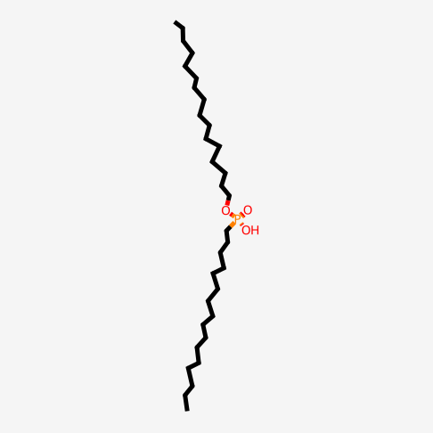 CCCCCCCCCCCCCCCCOP(=O)(O)CCCCCCCCCCCCCCCC